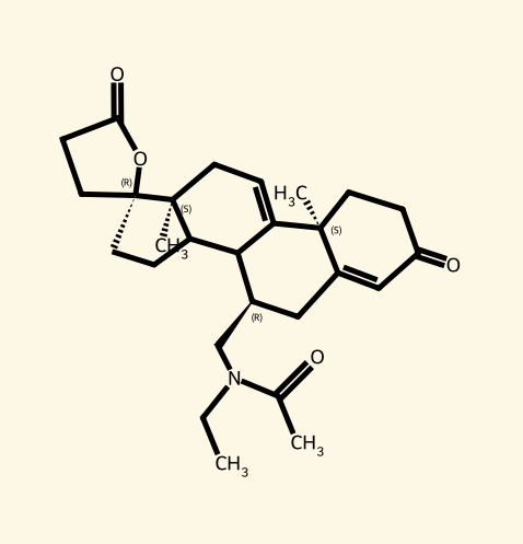 CCN(C[C@@H]1CC2=CC(=O)CC[C@]2(C)C2=CC[C@@]3(C)C(CC[C@@]34CCC(=O)O4)C21)C(C)=O